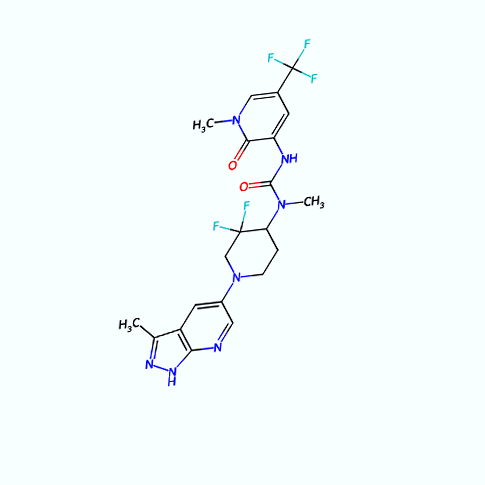 Cc1n[nH]c2ncc(N3CCC(N(C)C(=O)Nc4cc(C(F)(F)F)cn(C)c4=O)C(F)(F)C3)cc12